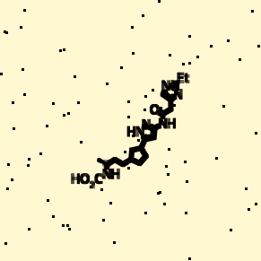 CCn1ncc(CC(=O)Nc2cc(C3CCC(CC[C@H](C)NC(=O)O)C3)[nH]n2)n1